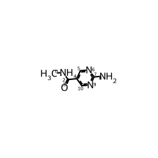 CNC(=O)c1cnc(N)nc1